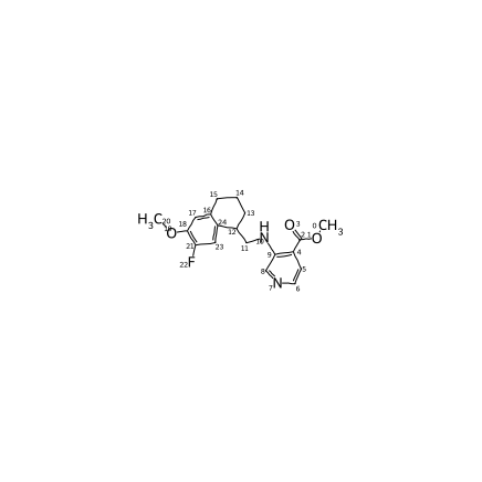 COC(=O)c1ccncc1NCC1CCCc2cc(OC)c(F)cc21